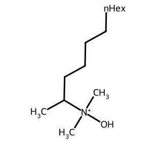 CCCCCCCCCCC(C)[N+](C)(C)O